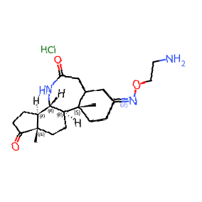 C[C@]12CC/C(=N/OCCN)CC1CC(=O)N[C@@H]1[C@@H]2CC[C@]2(C)C(=O)CC[C@@H]12.Cl